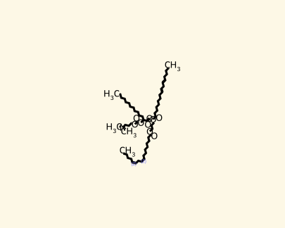 CCCCCC=CCC=CCCCCCCCC(=O)OCC(COC(=O)CCCCCCC/C=C\C/C=C\CCCCC)OC(=O)C(CCCCCCCCCCCC)OC(=O)OCCCN(C)C